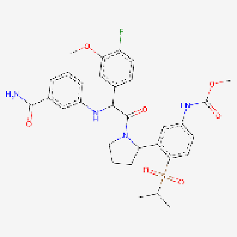 COC(=O)Nc1ccc(S(=O)(=O)C(C)C)c(C2CCCN2C(=O)C(Nc2cccc(C(N)=O)c2)c2ccc(F)c(OC)c2)c1